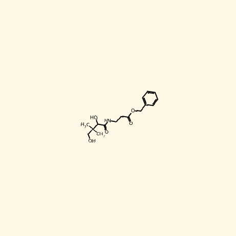 CC(C)(CO)C(O)C(=O)NCCC(=O)OCc1ccccc1